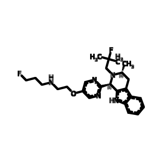 C[C@@H]1Cc2c([nH]c3ccccc23)[C@@H](c2ncc(OCCNCCCF)cn2)N1CC(C)(C)F